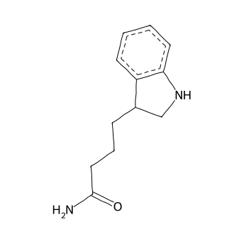 NC(=O)CCCC1CNc2ccccc21